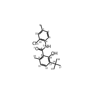 Cc1ccc(NC(=O)c2c(C)ccc(C(C)(C)C)c2O)c(Cl)c1